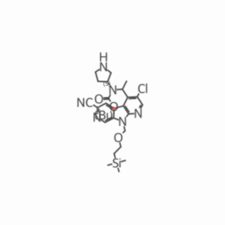 CC(c1c(Cl)cnc2c1c1cc(C#N)ncc1n2COCC[Si](C)(C)C)N(C(=O)OC(C)(C)C)[C@H]1CCNC1